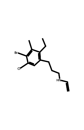 C=CNCCCc1cc(Cl)c(Br)c(C)c1CC